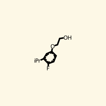 CC(C)c1cc(OCCO)ccc1F